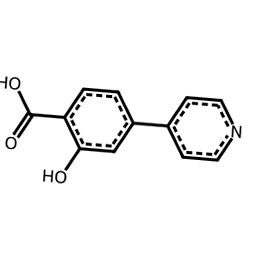 O=C(O)c1ccc(-c2ccncc2)cc1O